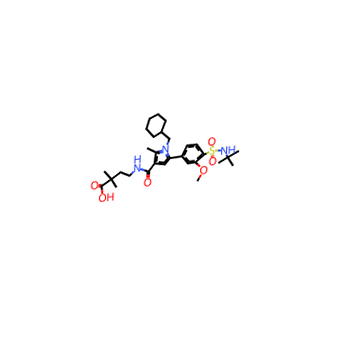 COc1cc(-c2cc(C(=O)NCCC(C)(C)C(=O)O)c(C)n2CC2CCCCC2)ccc1S(=O)(=O)NC(C)(C)C